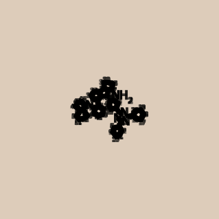 Nc1cc(-c2nc(-c3ccccc3)nc(-c3ccccc3)n2)ccc1[C@@H]1c2ccccc2-c2ccc3c(c21)c1ccccc1n3-c1cccc2ccccc12